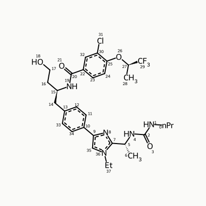 CCCNC(=O)N[C@H](C)c1nc(-c2ccc(C[C@@H](CCO)NC(=O)c3ccc(O[C@H](C)C(F)(F)F)c(Cl)c3)cc2)cn1CC